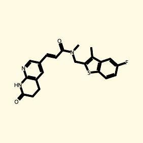 Cc1c(CN(C)C(=O)C=Cc2cnc3c(c2)CCC(=O)N3)sc2ccc(F)cc12